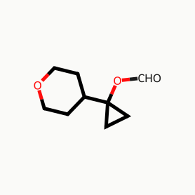 O=COC1(C2CCOCC2)CC1